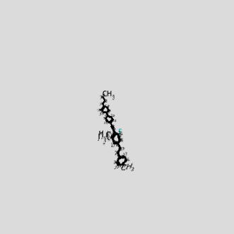 CCCCc1ccc(-c2ccc(C#Cc3c(C)cc(CCc4ccc(C)cc4)cc3F)cc2)cc1